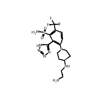 NCCNC1CCN(c2ccc(C(F)(F)F)c(S(N)(=O)=O)c2-c2nnn[nH]2)CC1